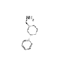 NC[C@H]1CCC[C@H](c2ccccc2)C1